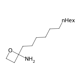 CCCCCCCCCCCCC1(N)CCO1